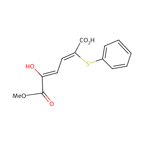 COC(=O)/C(O)=C/C=C(\Sc1ccccc1)C(=O)O